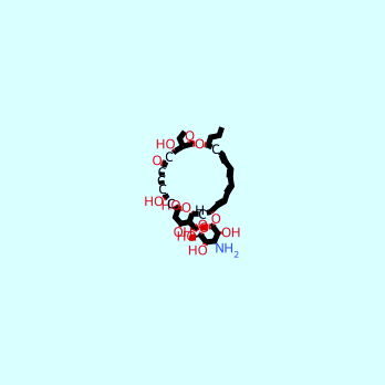 CCCC1C/C=C/C=C/C=C/C=C/C(OC2O[C@H](C)C(O)[C@H](N)[C@@H]2O)C[C@@H]2OC(O)(CC(O)CCCC(=O)CC(O)C(CC)C(=O)O1)C[C@H](O)C2C(=O)O